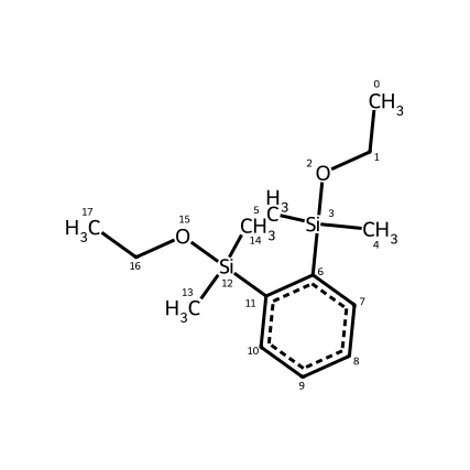 CCO[Si](C)(C)c1ccccc1[Si](C)(C)OCC